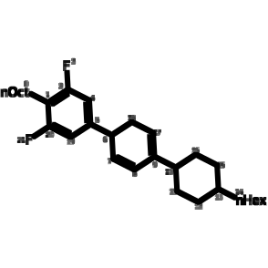 CCCCCCCCc1c(F)cc(C2C=CC(C3CCC(CCCCCC)CC3)=CC2)cc1F